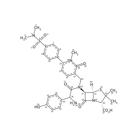 CN(C)S(=O)(=O)c1ccc(-c2ccc(CN(C(=O)C(N)c3ccc(O)cc3)[C@@H]3C(=O)N4[C@@H]3SC(C)(C)[C@@H]4C(=O)O)c(=O)n2C)cc1